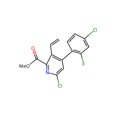 C=Cc1c(-c2ccc(Cl)cc2F)cc(Cl)nc1C(=O)OC